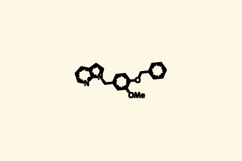 COc1cc(Cn2ccc3cccnc32)ccc1OCc1ccccc1